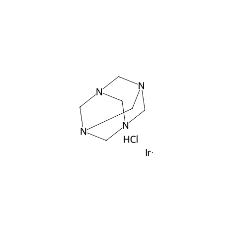 C1N2CN3CN1CN(C2)C3.Cl.[Ir]